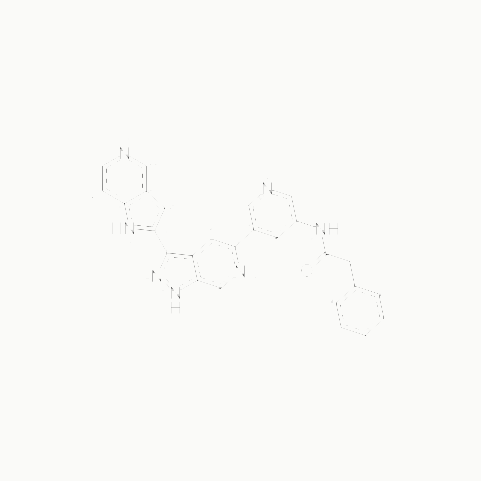 O=C(Cc1ccccc1)Nc1cncc(-c2cc3c(-c4cc5cnccc5[nH]4)n[nH]c3cn2)c1